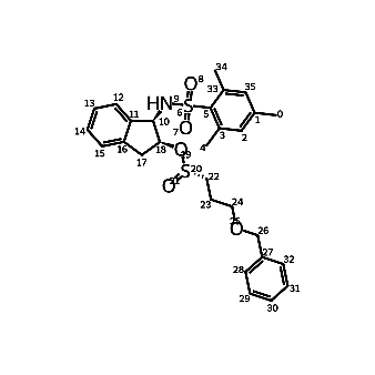 Cc1cc(C)c(S(=O)(=O)N[C@@H]2c3ccccc3C[C@@H]2O[S@@](=O)CCCOCc2ccccc2)c(C)c1